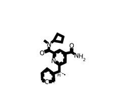 C[C@H](c1ccccc1)c1cc(C(N)=O)cc(C(=O)N(C)C2CCC2)n1